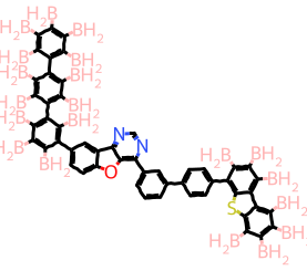 Bc1c(B)c(B)c(-c2c(B)c(B)c(-c3c(B)c(B)c(B)c(-c4ccc5oc6c(-c7cccc(-c8ccc(-c9c(B)c(B)c(B)c%10c9sc9c(B)c(B)c(B)c(B)c9%10)cc8)c7)ncnc6c5c4)c3B)c(B)c2B)c(B)c1B